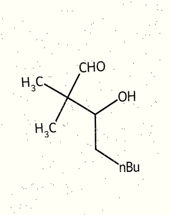 CCCCCC(O)C(C)(C)C=O